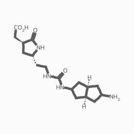 NC1C[C@@H]2CC(NC(=O)NCC[C@@H]3C[C@@H](CC(=O)O)C(=O)N3)C[C@@H]2C1